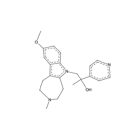 COc1ccc2c(c1)c1c(n2CC(C)(O)c2ccncc2)CCN(C)CC1